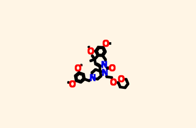 COc1cc(CN2CCC3(CC2)C2=CC(C)(C)c4c(cc(OC)cc4OC)CN2C(=O)N3CCOC2CCCCO2)cc(OC)c1